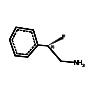 NC[C@@H](F)c1ccccc1